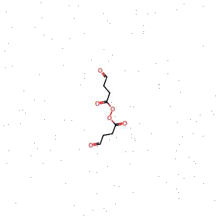 O=CCCC(=O)OOC(=O)CCC=O